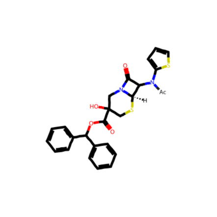 CC(=O)N(c1cccs1)C1C(=O)N2CC(O)(C(=O)OC(c3ccccc3)c3ccccc3)CS[C@H]12